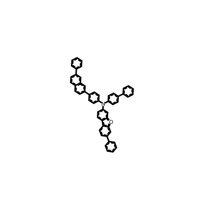 c1ccc(-c2ccc(N(c3ccc(-c4ccc5ccc(-c6ccccc6)cc5c4)cc3)c3ccc4c(c3)oc3cc(-c5ccccc5)ccc34)cc2)cc1